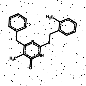 Cc1ccccc1CSc1nc(Cc2ccccc2)c(C)c(=O)[nH]1